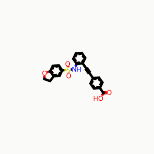 O=C(O)c1ccc(C#Cc2ccccc2NS(=O)(=O)c2ccc3c(c2)CCO3)cc1